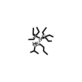 CCC[SiH](OC(C)C)N([Si](CC)(CC)CC)[Si](CC)(CC)CC